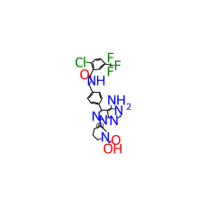 Nc1ncnc2c1c(-c1ccc(CNC(=O)c3cc(C(F)(F)F)ccc3Cl)cc1)nn2[C@@H]1CCCN(C(=O)O)C1